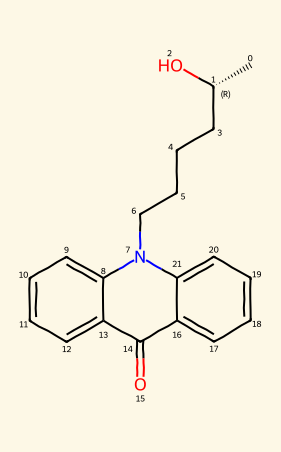 C[C@@H](O)CCCCn1c2ccccc2c(=O)c2ccccc21